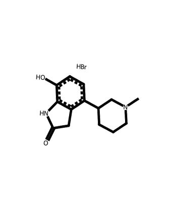 Br.CN1CCCC(c2ccc(O)c3c2CC(=O)N3)C1